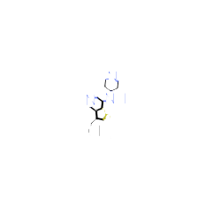 CN1CCC(Nc2cncc3c(CC(F)(F)F)csc23)CC1